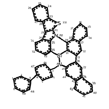 c1ccc(-c2ccc(N3B4c5c(cc6ccccc6c5-n5c6sc7ccccc7c6c6cccc4c65)-c4cc5ccccc5cc43)cc2)cc1